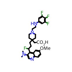 COc1ccc2ncc(N(C)C)c(C(F)CCC3(CC(=O)O)CCN(CCNc4cc(F)c(F)c(F)c4)CC3)c2c1